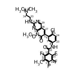 COn1c(=O)c(-c2cc(NC(=O)c3c(F)c(C)c(F)c(F)c3F)ccc2Cl)cc2cnc(NCCN(C)C)nc21